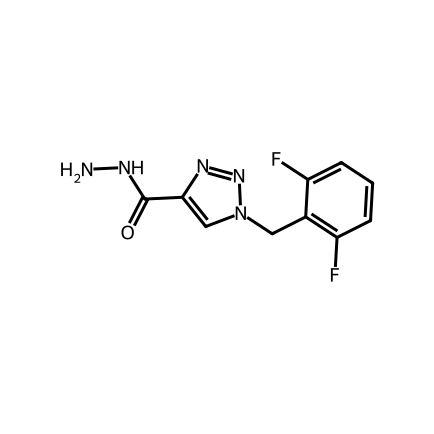 NNC(=O)c1cn(Cc2c(F)cccc2F)nn1